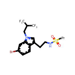 CC(C)S(=O)(=O)NCCc1cn(CC(C(F)(F)F)C(F)(F)F)c2cc(Br)ccc12